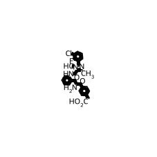 Cc1nc(-c2cccc(Cl)c2F)n(O)c1C(=O)Nc1ccccc1CC(N)C(=O)c1ccc(CC(=O)O)cc1